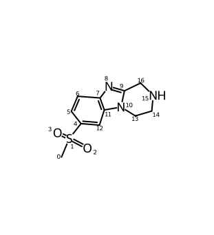 CS(=O)(=O)c1ccc2nc3n(c2c1)CCNC3